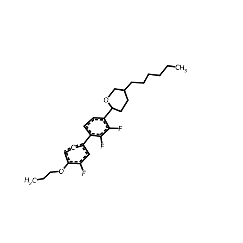 CCCCCCC1CCC(c2ccc(-c3ccc(OCCC)c(F)c3)c(F)c2F)OC1